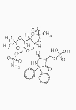 CC1(C)O[C@@H]2[C@@H](CO[C@@]3(COS(N)(=O)=O)OC(C)(C)O[C@@H]23)O1.O=C1NC(c2ccccc2)(c2ccccc2)C(=O)N1COP(=O)(O)O